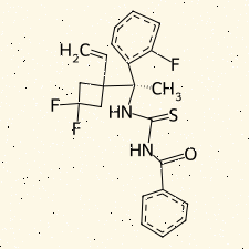 C=CC1([C@](C)(NC(=S)NC(=O)c2ccccc2)c2ccccc2F)CC(F)(F)C1